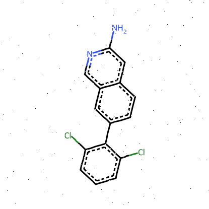 Nc1cc2ccc(-c3c(Cl)cccc3Cl)cc2cn1